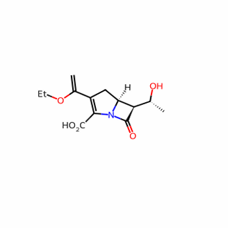 C=C(OCC)C1=C(C(=O)O)N2C(=O)[C@H]([C@@H](C)O)[C@@H]2C1